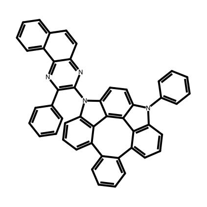 c1ccc(-c2nc3c(ccc4ccccc43)nc2-n2c3cccc4c5ccccc5c5cccc6c5c5c(c43)c2ccc5n6-c2ccccc2)cc1